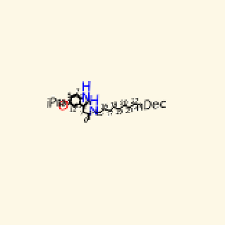 C=C(Cc1c[nH]c2ccc(OC(C)C)cc12)NCCCCCCCCCCCCCCCCCC